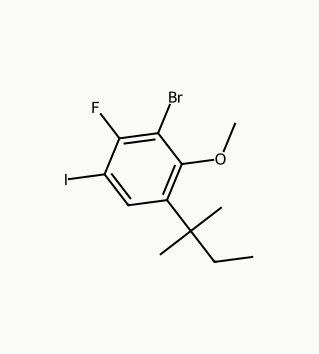 CCC(C)(C)c1cc(I)c(F)c(Br)c1OC